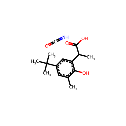 Cc1cc(C(C)(C)C)cc(C(C)C(=O)O)c1O.N=C=O